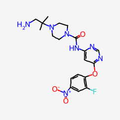 CC(C)(CN)N1CCN(C(=O)Nc2cc(Oc3ccc([N+](=O)[O-])cc3F)ncn2)CC1